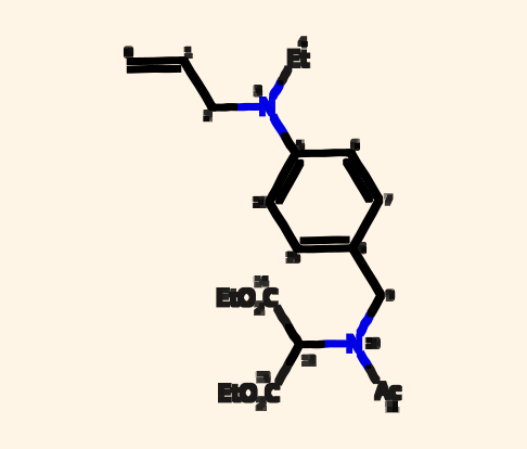 C=CCN(CC)c1ccc(CN(C(C)=O)C(C(=O)OCC)C(=O)OCC)cc1